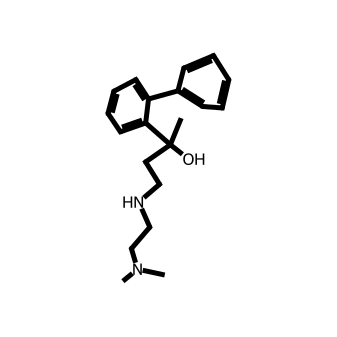 CN(C)CCNCCC(C)(O)c1ccccc1-c1ccccc1